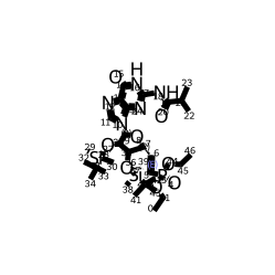 CCOP(=O)(/C=C/[C@H]1O[C@@H](n2cnc3c(=O)[nH]c(NC(=O)C(C)C)nc32)C(O[Si](C)(C)C(C)(C)C)C1O[Si](C)(C)C(C)(C)C)OCC